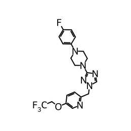 Fc1ccc(N2CCN(c3ncn(Cc4ccc(OCC(F)(F)F)cn4)n3)CC2)cc1